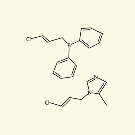 Cc1cncn1CC=CCl.ClC=CCB(c1ccccc1)c1ccccc1